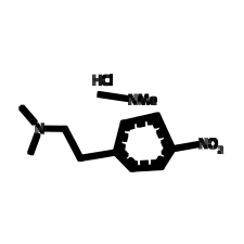 CN(C)CCc1ccc([N+](=O)[O-])cc1.CNC.Cl